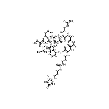 C[C@H](NC(=O)[C@H](C)NC(=O)[C@H](CCCNC(N)=O)NC(=O)[C@H](Cc1c[nH]c2ccccc12)NC(=O)[C@@H]1CCCCN1C(=O)[C@H](CCC(=O)O)NC(=O)CCl)C(=O)NC(CCCCNC(=O)CCCCC[C@@H]1NC(=O)N[C@@H]1C)C(N)=O